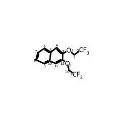 FC(F)(F)COc1cc2ccccc2cc1OCC(F)(F)F